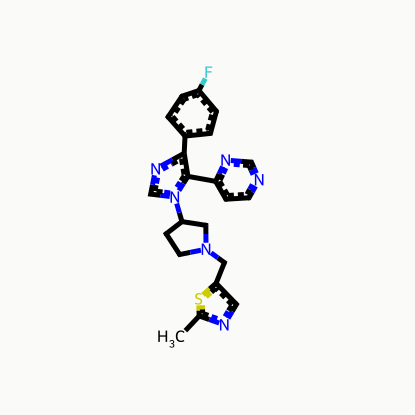 Cc1ncc(CN2CCC(n3cnc(-c4ccc(F)cc4)c3-c3ccncn3)C2)s1